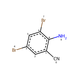 N#Cc1cc(Br)cc(Br)c1N